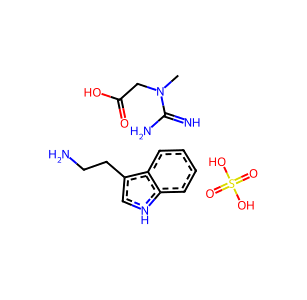 CN(CC(=O)O)C(=N)N.NCCc1c[nH]c2ccccc12.O=S(=O)(O)O